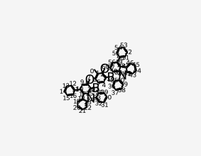 Cc1c2c(cc3c1Oc1cc(-c4ccccc4)c4c5ccccc5n5c4c1B3c1ccccc1-5)B1c3ccccc3-n3c4ccccc4c4c(-c5ccccc5)cc(c1c43)O2